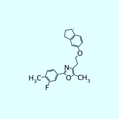 Cc1ccc(-c2nc(CCOc3ccc4c(c3)CC[CH]4)c(C)o2)cc1F